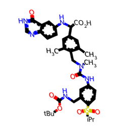 Cc1cc(C(Nc2ccc3nc[nH]c(=O)c3c2)C(=O)O)cc(C)c1CN(C)C(=O)Nc1ccc(S(=O)(=O)C(C)C)c(CNC(=O)OC(C)(C)C)c1